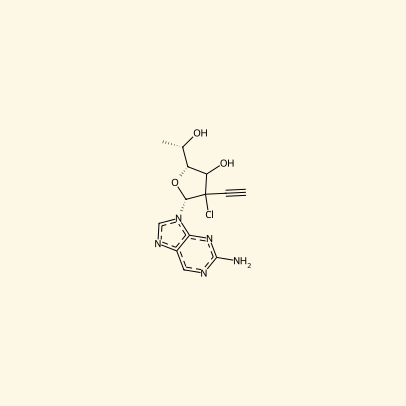 C#CC1(Cl)C(O)[C@@H]([C@H](C)O)O[C@H]1n1cnc2cnc(N)nc21